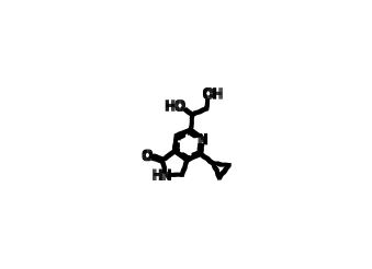 O=C1NCc2c1cc(C(O)CO)nc2C1CC1